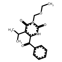 CCOCn1c(=O)[nH]c(C(=O)c2ccccc2)c(C(C)C)c1=O